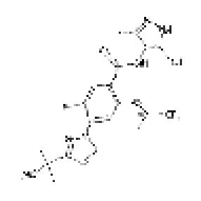 Cc1cn(-c2cc(O[C@@H](C)C(F)(F)F)c(C(=O)Nc3c(C)n[nH]c3Cl)cc2F)nc1C(C)(C)O